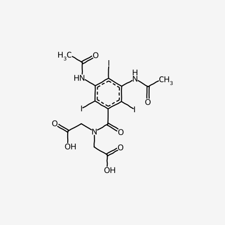 CC(=O)Nc1c(I)c(NC(C)=O)c(I)c(C(=O)N(CC(=O)O)CC(=O)O)c1I